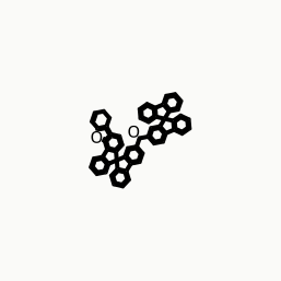 O=C(c1ccc2c(c1)C1(c3ccccc3-c3ccccc31)c1ccccc1-2)c1ccc2c(c1)C1(c3ccccc3-2)c2ccccc2-c2c1ccc1c3c(oc21)C=CCC3